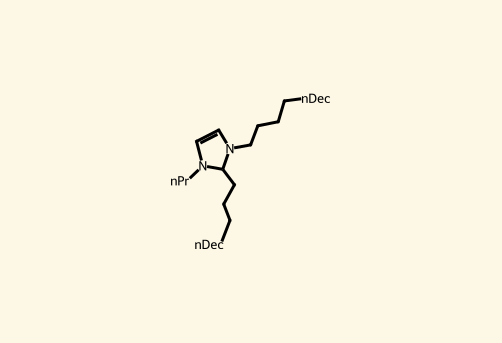 CCCCCCCCCCCCCCN1C=CN(CCC)C1CCCCCCCCCCCCC